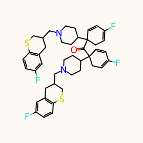 O=C(C1(C2CCN(CC3CSc4ccc(F)cc4C3)CC2)C=CC(F)=CC1)C1(C2CCN(CC3CSc4ccc(F)cc4C3)CC2)C=CC(F)=CC1